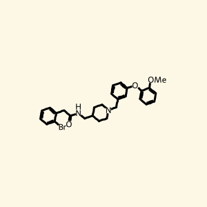 COc1ccccc1Oc1cccc(CN2CCC(CNC(=O)Cc3ccccc3Br)CC2)c1